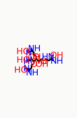 N=C(CCOCC(O)C(OCCC(=N)NO)C(OCCC(=N)NO)C(O)CO)NO